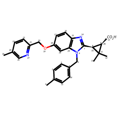 Cc1ccc(Cn2c([C@H]3[C@@H](C(=O)O)C3(C)C)nc3ccc(OCc4ccc(C)cn4)cc32)cc1